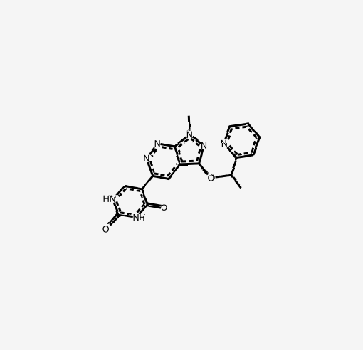 CC(Oc1nn(C)c2nnc(-c3c[nH]c(=O)[nH]c3=O)cc12)c1ccccn1